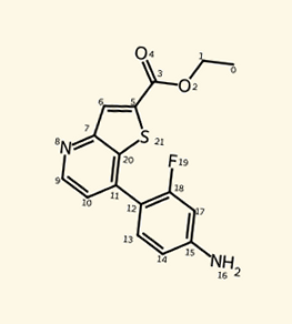 CCOC(=O)c1cc2nccc(-c3ccc(N)cc3F)c2s1